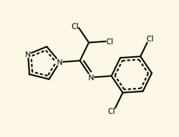 Clc1ccc(Cl)c(/N=C(\C(Cl)Cl)n2ccnc2)c1